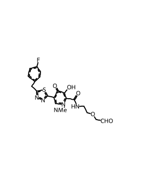 CNn1cc(-c2nnc(Cc3ccc(F)cc3)s2)c(=O)c(O)c1C(=O)NCCOCC=O